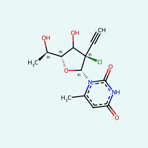 C#C[C@@]1(Cl)C(O)[C@@H]([C@@H](C)O)O[C@H]1n1c(C)cc(=O)[nH]c1=O